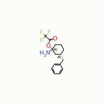 N[C@@]1(OC(=O)C(F)(F)F)CCC[C@H](Cc2ccccc2)C1